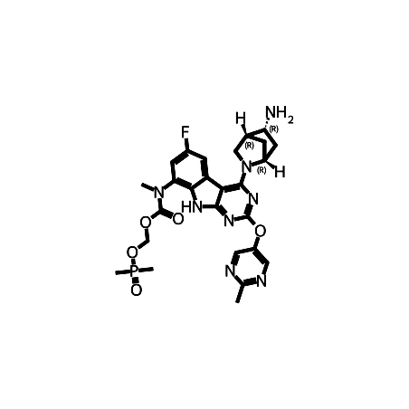 Cc1ncc(Oc2nc(N3C[C@H]4C[C@@H]3C[C@H]4N)c3c(n2)[nH]c2c(N(C)C(=O)OCOP(C)(C)=O)cc(F)cc23)cn1